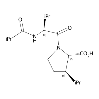 CC(C)C(=O)N[C@H](C(=O)N1CC[C@H](C(C)C)[C@H]1C(=O)O)C(C)C